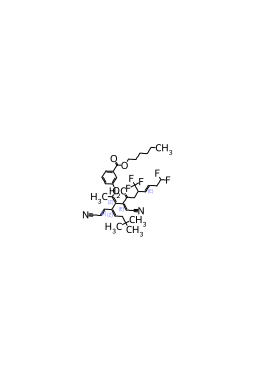 C=C(CC(/C=C/CC(F)F)C(F)(F)F)C(=C\C#N)/C(C(=C\CC(C)(C)C)/C=C/C#N)=C(/C)Oc1cccc(C(=O)OCCCCCC)c1